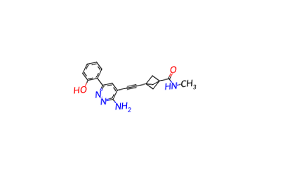 CNC(=O)C12CC(C#Cc3cc(-c4ccccc4O)nnc3N)(C1)C2